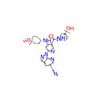 CC(C)(O)[C@H](F)CNC(=O)c1cnc(-n2ncc3cc(C#N)cnc32)cc1N[C@H]1CC[C@@](C)(O)CC1